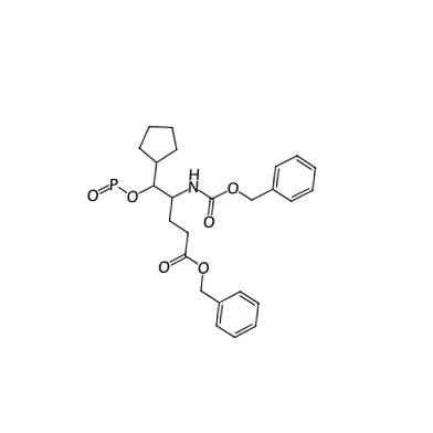 O=POC(C1CCCC1)C(CCC(=O)OCc1ccccc1)NC(=O)OCc1ccccc1